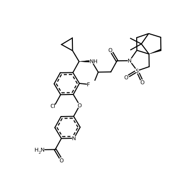 CC(CC(=O)N1C2CC3CC[C@]2(CS1(=O)=O)C3(C)C)N[C@@H](c1ccc(Cl)c(Oc2ccc(C(N)=O)nc2)c1F)C1CC1